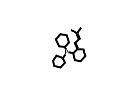 CC(C)=CC=C1CCCCC1P(C1CCCCC1)C1CCCCC1